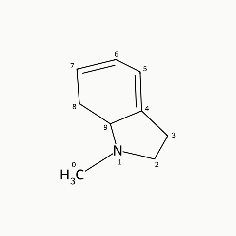 CN1CCC2=CC=CCC21